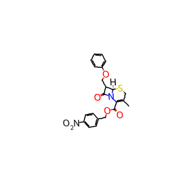 CC1=C(C(=O)OCc2ccc([N+](=O)[O-])cc2)N2C(=O)C(COc3ccccc3)[C@H]2SC1